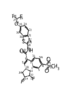 CS(=O)(=O)c1ccc(/C(=C\[C@H]2C[C@@H](F)[C@@H](F)C2)C(=O)Nc2nc3ccc(OC(F)F)cc3s2)cc1